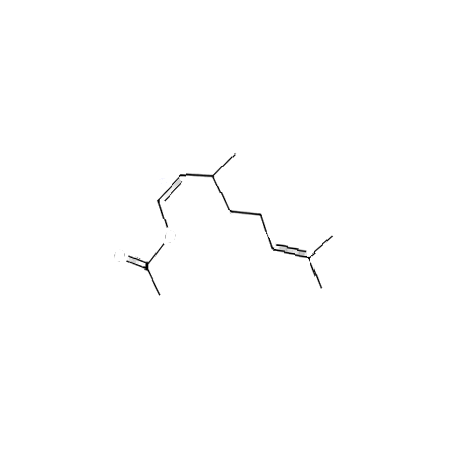 CC(=O)O/C=C\C(C)CCC=C(C)C